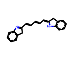 C(/C=C/C=C/C1=Nc2ccccc2C1)=C1\Cc2ccccc2N1